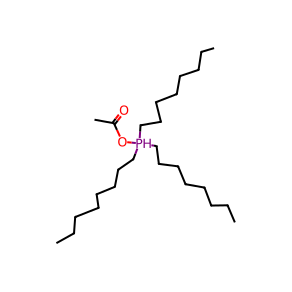 CCCCCCCC[PH](CCCCCCCC)(CCCCCCCC)OC(C)=O